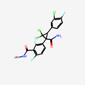 CCCNC(=O)c1c(F)ccc(C2(C(N)=O)C(c3ccc(F)c(Cl)c3)C2(Cl)Cl)c1F